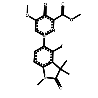 COC(=O)c1nn(-c2ccc3c(c2F)C(C)(C)C(=O)N3C)cc(OC)c1=O